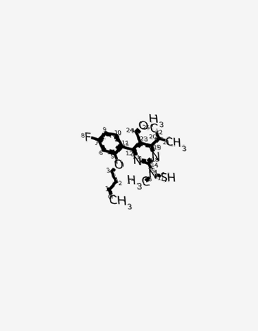 CCCCOc1cc(F)ccc1-c1nc(N(C)S)nc(C(C)C)c1C=O